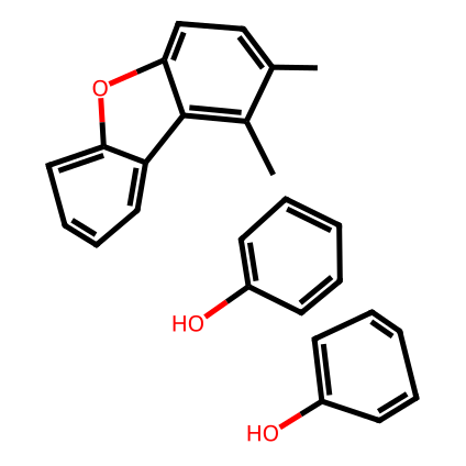 Cc1ccc2oc3ccccc3c2c1C.Oc1ccccc1.Oc1ccccc1